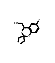 CCC1(CC)Oc2ccc(Cl)cc2C(CO)O1